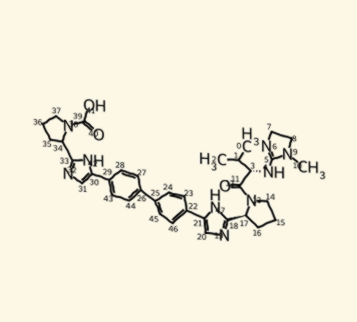 CC(C)[C@H](NC1=NCCN1C)C(=O)N1CCC[C@H]1c1ncc(-c2ccc(-c3ccc(-c4cnc(C5CCCN5C(=O)O)[nH]4)cc3)cc2)[nH]1